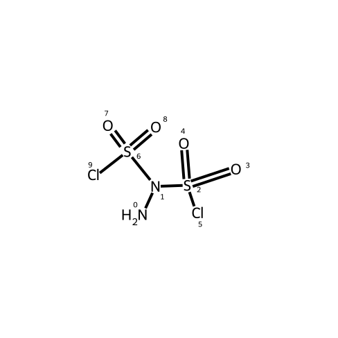 NN(S(=O)(=O)Cl)S(=O)(=O)Cl